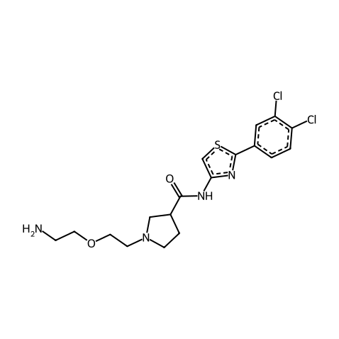 NCCOCCN1CCC(C(=O)Nc2csc(-c3ccc(Cl)c(Cl)c3)n2)C1